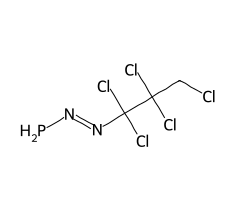 PN=NC(Cl)(Cl)C(Cl)(Cl)CCl